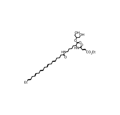 CCC=CCC=CCC=CCC=CCC=CCCCC(=O)NCCCCC(NC(=O)C=CC(=O)OCC)C(=O)OC(CO)CO